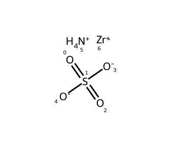 O=S(=O)([O-])[O-].[NH4+].[Zr+]